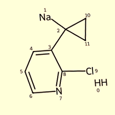 [HH].[Na][C]1(c2cccnc2Cl)CC1